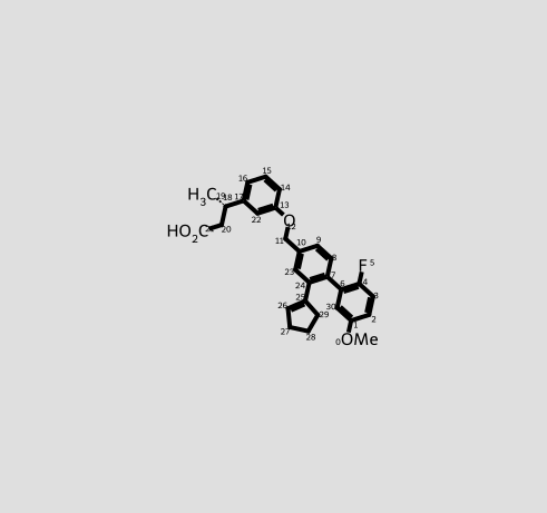 COc1ccc(F)c(-c2ccc(COc3cccc([C@@H](C)CC(=O)O)c3)cc2C2=CCCC2)c1